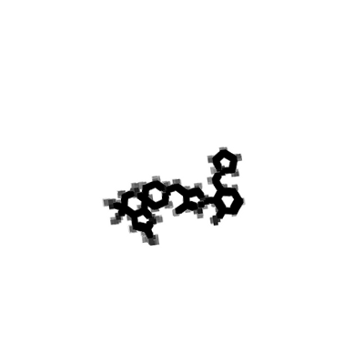 Cc1nn(-c2c(F)cccc2CN2CCCC2)cc1CN1CCC2(CC1)OCC(F)(F)C1C=C(Cl)SC12